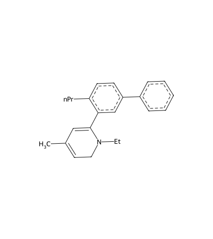 CCCc1ccc(-c2ccccc2)cc1C1=CC(C)=CCN1CC